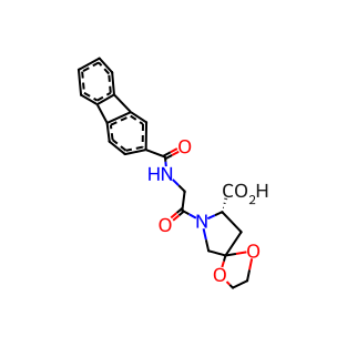 O=C(NCC(=O)N1CC2(C[C@H]1C(=O)O)OCCO2)c1ccc2c(c1)-c1ccccc1-2